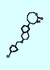 CCc1ccc(CO[C@@H]2CCc3cc([C@H]4CCCCOC(=O)NC4)ccc3C2)cc1